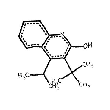 CC(C)c1c(C(C)(C)C)c(O)nc2ccccc12